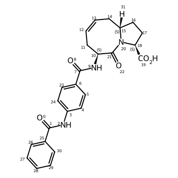 O=C(Nc1ccc(C(=O)N[C@H]2CC=CC[C@@H]3CC[C@@H](C(=O)O)N3C2=O)cc1)c1ccccc1